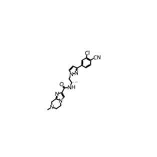 C[C@@H](Cn1ccc(-c2ccc(C#N)c(Cl)c2)n1)NC(=O)c1cn2c(n1)CN(C)CC2